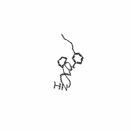 CCCCc1cccc(COCC2(c3ccccc3)CCNCC2)c1